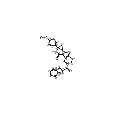 CN(C(=O)c1noc2c1CN(C(=O)c1cc3ccccc3[nH]1)CC2)C1(c2ccc(C=O)cc2)CC1